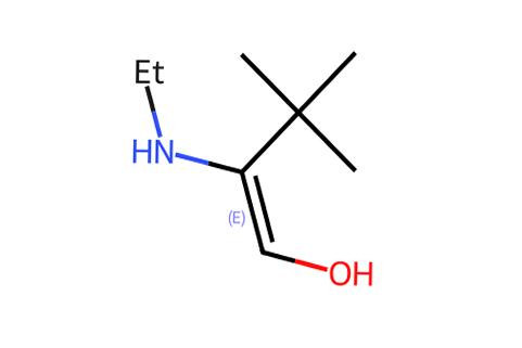 CCN/C(=C/O)C(C)(C)C